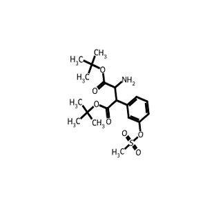 CC(C)(C)OC(=O)C(N)C(C(=O)OC(C)(C)C)c1cccc(OS(C)(=O)=O)c1